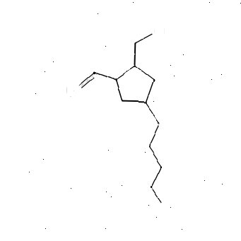 C=CC1CC(CCCCC)CC1CC